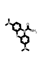 CN(C)c1ccc2c(c1)Sc1cc(N(C)C)ccc1N2C(N)=O